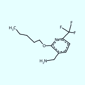 CCCCCOc1nc(C(F)(F)F)ccc1CN